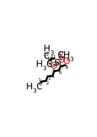 CCCCCCCC(C=O)[Si](CCC)(OC)OC